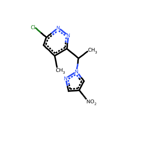 Cc1cc(Cl)nnc1C(C)n1cc([N+](=O)[O-])cn1